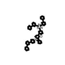 C1=CC2c3cc(-c4nc(-c5cccc(-c6ccccc6)c5)nc(-c5cccc(-c6ccccc6)c5)n4)ccc3OC2c2c1n(-c1ccc(-c3cccc(-c4ccccc4)c3)cc1)c1ccccc21